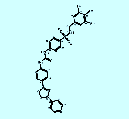 O=C(Nc1ccc(C2=N[C@@H](c3ccccc3)CO2)cc1)Nc1ccc(S(=O)(=O)NCc2cc(F)c(F)c(F)c2)cc1